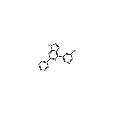 Brc1cncc(-c2nc(-c3ccccn3)nc3[nH]ccc23)c1